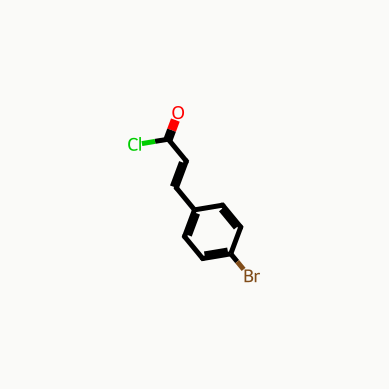 O=C(Cl)/C=C/c1ccc(Br)cc1